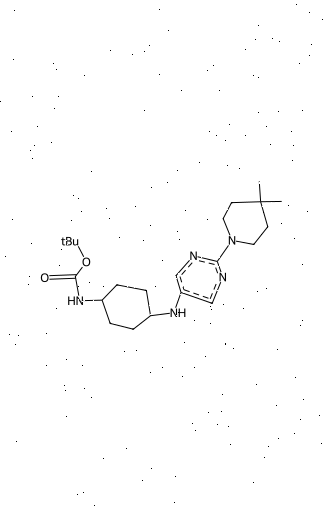 CC1(C)CCN(c2ncc(NC3CCC(NC(=O)OC(C)(C)C)CC3)cn2)CC1